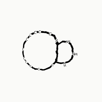 C1=CC2=NCCCCCCCCCCCCCCCCCCC(=C1)CNCCNCCNC2